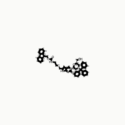 O=C(NCCOCc1cc2cn([C@@H]3CN(C(c4ccccc4)(c4ccccc4)c4ccccc4)C[C@@H](CO)O3)c(=O)nc2[nH]1)OCC1c2ccccc2-c2ccccc21